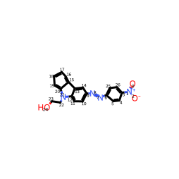 O=[N+]([O-])c1ccc(/N=N/c2ccc3c(c2)c2ccccc2n3CCO)cc1